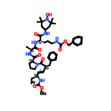 CC(C)C[C@@H](/C=C/[C@H](Cc1ccccc1)C(=O)N1CCC[C@H]1C(=O)N[C@@H](C)C(=O)N[C@@H](CCCNC(=O)OCc1ccccc1)C(=O)NC1CC(C)(C)N(O)C(C)(C)C1)NC(=O)OC(C)(C)C